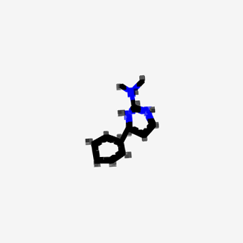 CN(C)c1nccc(-c2ccccc2)n1